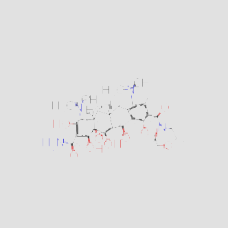 CN(C)c1cc(C(=O)N2CCOCC2)c(O)c2c1C[C@H]1C[C@H]3[C@H](N(C)C)C(O)=C(C(N)=O)C(=O)[C@@]3(O)C(O)=C1C2=O